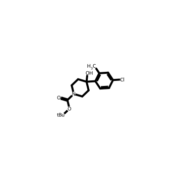 Cc1cc(Cl)ccc1C1(O)CCN(C(=O)OC(C)(C)C)CC1